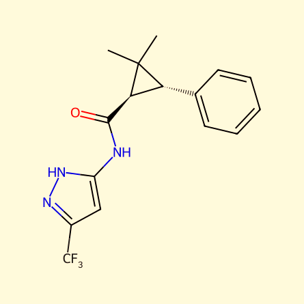 CC1(C)[C@H](C(=O)Nc2cc(C(F)(F)F)n[nH]2)[C@H]1c1ccccc1